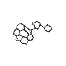 C1=CC2Oc3ccc4c5c3c2c2c1ccc1c2c5c(n1-c1cc(-c2ccccc2)ccn1)=CC4